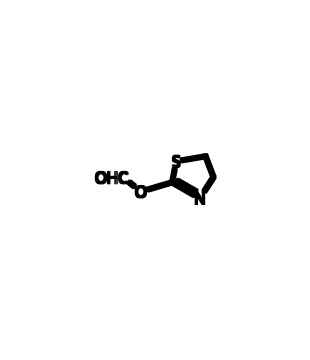 O=COC1=NCCS1